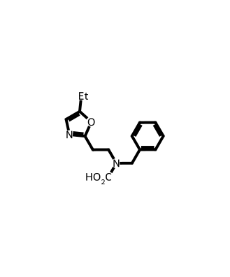 CCc1cnc(CCN(Cc2ccccc2)C(=O)O)o1